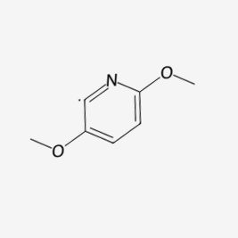 COc1[c]nc(OC)cc1